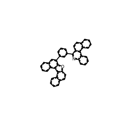 c1cc(-c2nc3ccccc3c3c2ccc2ccccc23)cc(-c2cc3ccccc3c3c2oc2ccc4ccccc4c23)c1